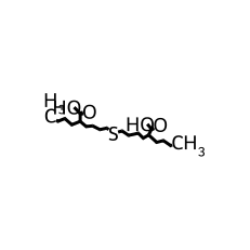 CCCCC(CCCCSCCCCC(CCCC)C(=O)O)C(=O)O